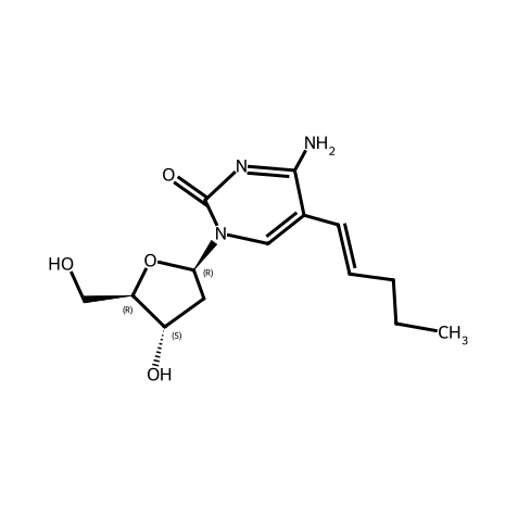 CCCC=Cc1cn([C@H]2C[C@H](O)[C@@H](CO)O2)c(=O)nc1N